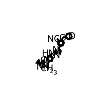 CN(Cc1ccc(Nc2nccc(-c3ccc(OC4CCOCC4)c(C#N)c3)n2)cn1)C(=O)C1(N)CC1